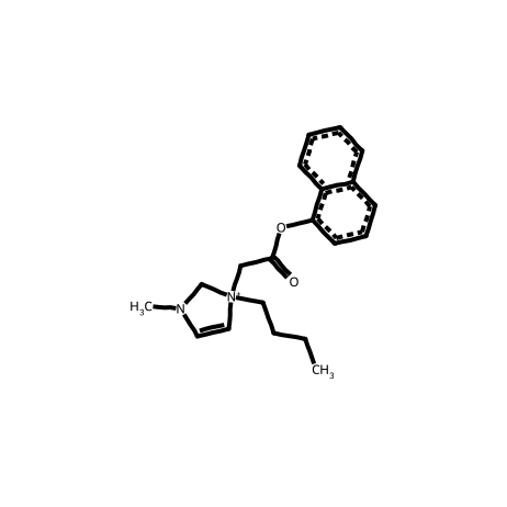 CCCC[N+]1(CC(=O)Oc2cccc3ccccc23)C=CN(C)C1